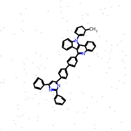 CC1C=C(n2c3ccccc3c3c(-c4ccc(-c5ccc(-c6cc(-c7ccccc7)nc(-c7ccccc7)n6)cc5)cc4)nc4ccccc4c32)C=CC1